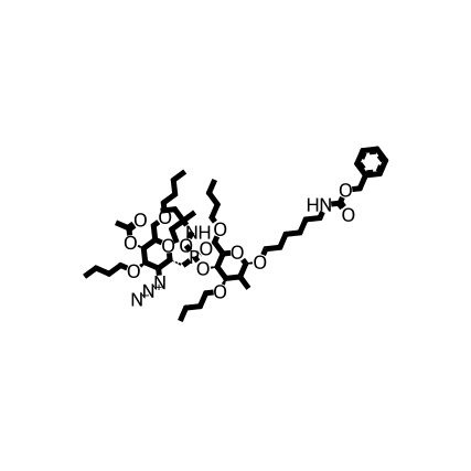 CCCCOCC1O[C@H](OCCCCCCNC(=O)OCc2ccccc2)C(C)[C@@H](OCCCC)[C@@H]1OP(=O)(C[C@H]1OC(COCCCC)[C@@H](OC(C)=O)[C@H](OCCCC)C1N=[N+]=[N-])ONC(C)(CC)CC